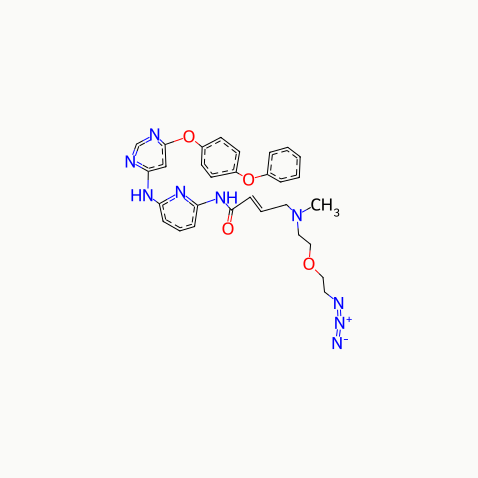 CN(C/C=C/C(=O)Nc1cccc(Nc2cc(Oc3ccc(Oc4ccccc4)cc3)ncn2)n1)CCOCCN=[N+]=[N-]